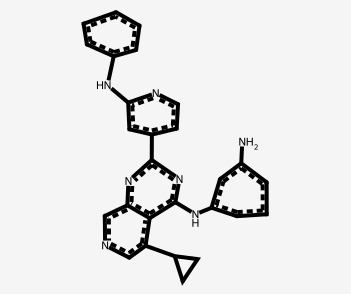 Nc1cccc(Nc2nc(-c3ccnc(Nc4ccccc4)c3)nc3cncc(C4CC4)c23)c1